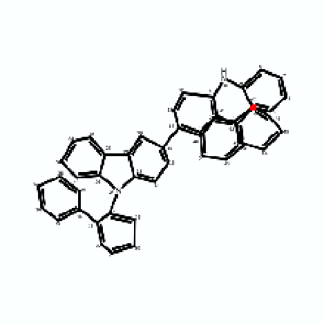 c1ccc(-c2ccccc2Nc2ccc(-c3ccc4c(c3)c3ccccc3n4-c3ccccc3-c3ccccc3)cc2-c2ccccc2)cc1